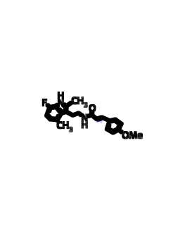 COc1ccc(/C=C/C(=O)NCCc2c(C)[nH]c3c(F)ccc(C)c23)cc1